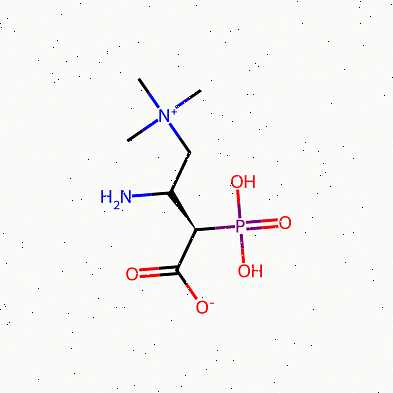 C[N+](C)(C)CC(N)[C@H](C(=O)[O-])P(=O)(O)O